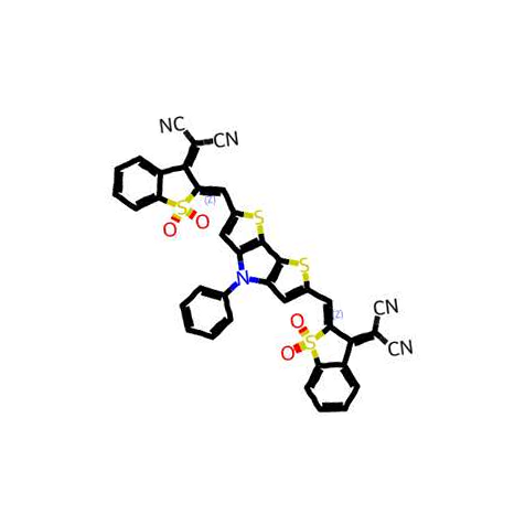 N#CC(C#N)=C1/C(=C/c2cc3c(s2)c2sc(/C=C4/C(=C(C#N)C#N)c5ccccc5S4(=O)=O)cc2n3-c2ccccc2)S(=O)(=O)c2ccccc21